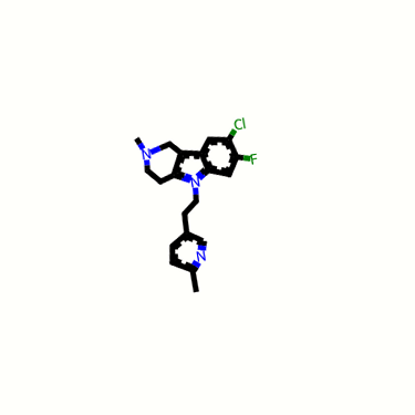 Cc1ccc(CCn2c3c(c4cc(Cl)c(F)cc42)CN(C)CC3)cn1